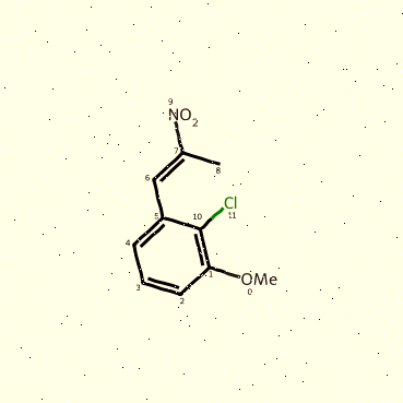 COc1cccc(C=C(C)[N+](=O)[O-])c1Cl